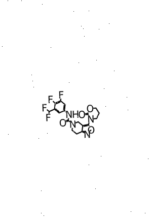 O=C(Nc1cc(F)c(F)c(C(F)F)c1)N1CCc2noc(N3CCCOC3=O)c2C1